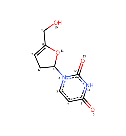 O=c1ccn(C2CC=C(CO)O2)c(=O)[nH]1